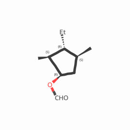 CC[C@H]1[C@H](C)[C@H](OC=O)C[C@@H]1C